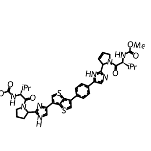 COC(=O)N[C@H](C(=O)N1CC=CC1c1ncc(-c2ccc(-c3csc4c(-c5c[nH]c(C6CCCN6C(=O)[C@@H](NC(=O)OC)C(C)C)n5)csc34)cc2)[nH]1)C(C)C